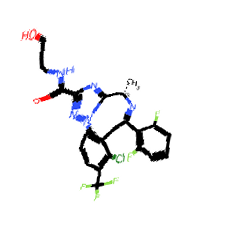 C[C@@H]1N=C(c2c(F)cccc2F)c2c(ccc(C(F)(F)F)c2Cl)-n2nc(C(=O)NCCO)nc21